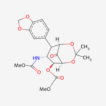 COC(=O)N[C@@H]1C(c2ccc3c(c2)OCO3)[C@H]2OC(C)(C)O[C@H](C2=O)[C@H]1OC(=O)OC